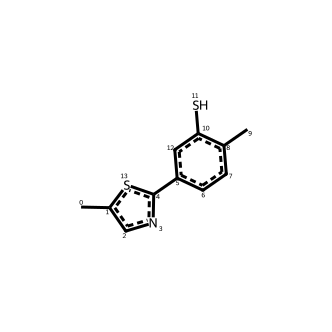 Cc1cnc(-c2ccc(C)c(S)c2)s1